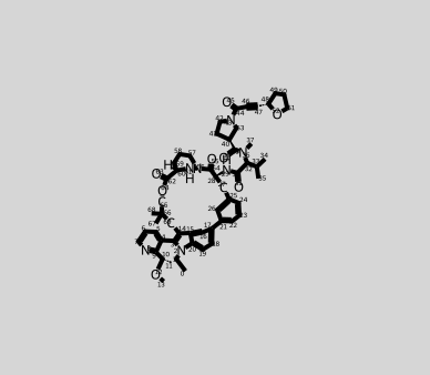 CCn1c(-c2cccnc2[C@H](C)OC)c2c3cc(ccc31)-c1cccc(c1)C[C@H](NC(=O)C(C(C)C)N(C)C(=O)[C@H]1CCN(C(=O)C#C[C@@H]3CCCO3)C1)C(=O)N1CCC[C@H](N1)C(=O)OCC(C)(C)C2